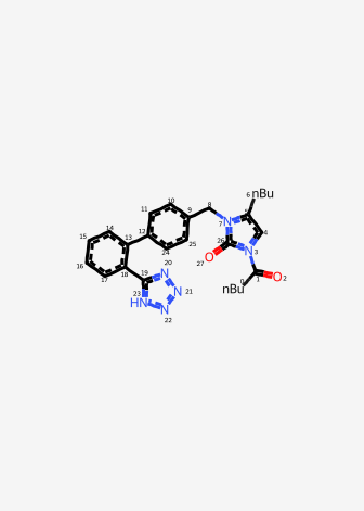 CCCCC(=O)n1cc(CCCC)n(Cc2ccc(-c3ccccc3-c3nnn[nH]3)cc2)c1=O